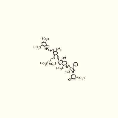 Cc1cc(N=Nc2c(S(=O)(=O)O)cc3c(S(=O)(=O)O)c(N=Nc4c(-c5ccccc5)nn(-c5cc(Cl)cc(S(=O)(=O)O)c5)c4O)ccc3c2O)c(OCCCS(=O)(=O)O)cc1N=Nc1nc2c(S(=O)(=O)O)cc(S(=O)(=O)O)cc2s1